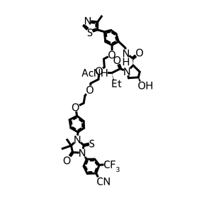 CC[C@H](NC(C)=O)C(=O)N1C[C@H](O)C[C@H]1C(=O)NCc1ccc(-c2scnc2C)cc1OCCOCCOCCOc1ccc(N2C(=S)N(c3ccc(C#N)c(C(F)(F)F)c3)C(=O)C2(C)C)cc1